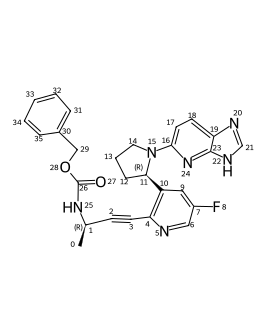 C[C@H](C#Cc1ncc(F)cc1[C@H]1CCCN1c1ccc2nc[nH]c2n1)NC(=O)OCc1ccccc1